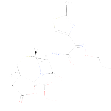 BOC(=O)[C@]12OC(=O)C[C@H]1CS[C@@H]1[C@H](NC(=O)/C(=N\OCS(=O)(=O)O)c3csc(C)n3)C(=O)N12